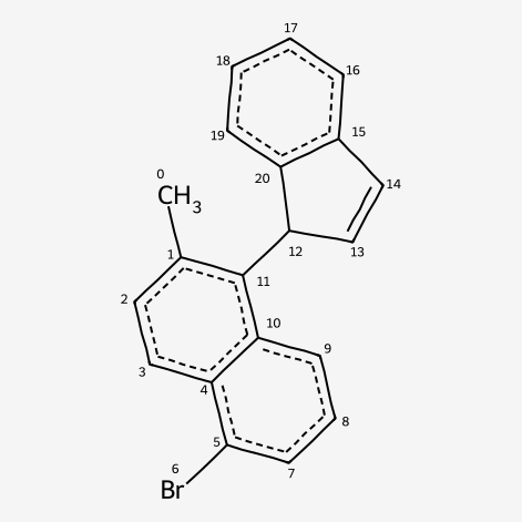 Cc1ccc2c(Br)cccc2c1C1C=Cc2ccccc21